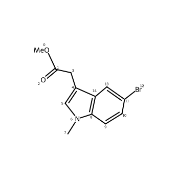 COC(=O)Cc1cn(C)c2ccc(Br)cc12